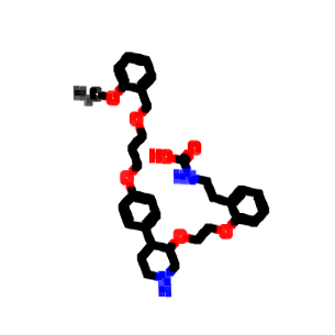 COc1ccccc1COCCCOc1ccc(C2CCNCC2OCCOc2ccccc2CCNC(=O)O)cc1